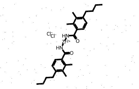 CCCCc1ccc(C(=O)[NH][Zr+2][NH]C(=O)c2ccc(CCCC)c(C)c2C)c(C)c1C.[Cl-].[Cl-]